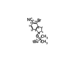 CC(C)(C)[Si](C)(C)O[C@H]1CCc2c1ccc(C#N)c2Br